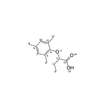 CCC(Oc1c(C)cc(C)cc1C)C(=O)O